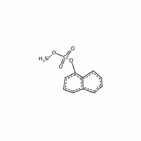 [O]=[Cr](=[O])([O][SiH3])[O]c1cccc2ccccc12